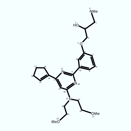 CNCC(O)COc1cccc(-c2nc(C3=CCCC3)cc(N(CCOC)CCOC)n2)c1